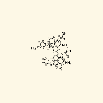 NC(=O)c1cccc2c1c1c(OCC(=O)O)cccc1n2Cc1cccc(F)c1.NC(=O)c1cccc2c1c1c(OCC(=O)O)cccc1n2Cc1ccccc1.[LiH]